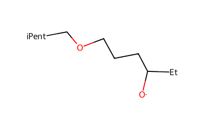 CCCC(C)COCCCC([O])CC